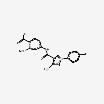 BC(=O)c1ccc(NC(=O)c2cn(-c3ccc(F)cc3)nc2C)cc1OC